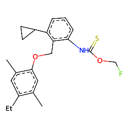 CCc1cc(C)c(OCc2c(NC(=S)OCF)cccc2C2CC2)cc1C